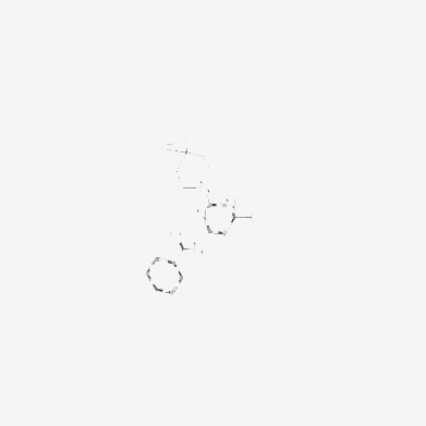 Cc1cc(NC(=O)c2ccccc2)nc(N2CCC(F)(F)CC2)n1